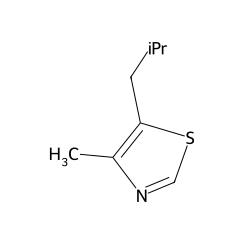 Cc1ncsc1CC(C)C